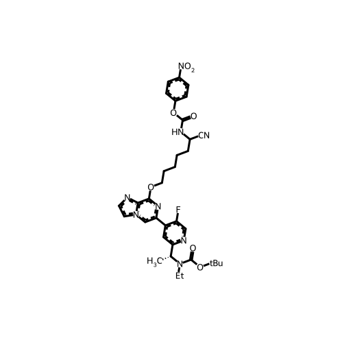 CCN(C(=O)OC(C)(C)C)[C@H](C)c1cc(-c2cn3ccnc3c(OCCCCCC(C#N)NC(=O)Oc3ccc([N+](=O)[O-])cc3)n2)c(F)cn1